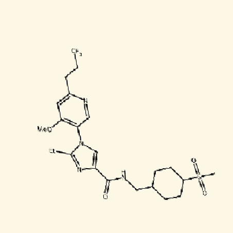 CCc1nc(C(=O)NCC2CCC(S(C)(=O)=O)CC2)cn1-c1cnc(CCC(F)(F)F)cc1OC